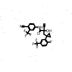 C#CC(O)(CC1(c2cc(C(F)(F)F)ccc2F)CC1)C(=O)Nc1ccc(C#N)c(C(F)(F)F)c1